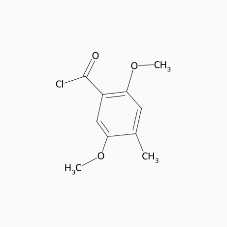 COc1cc(C(=O)Cl)c(OC)cc1C